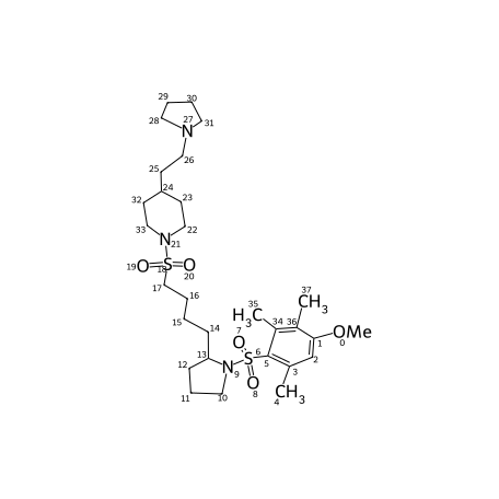 COc1cc(C)c(S(=O)(=O)N2CCCC2CCCCS(=O)(=O)N2CCC(CCN3CCCC3)CC2)c(C)c1C